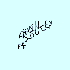 Cn1cc2c(c1C(=O)Nc1ccc(F)c(C#N)c1)OCC(CC=C(F)F)NS2(=O)=O